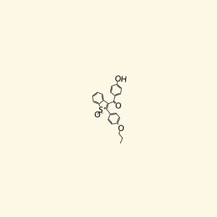 CCCOc1ccc(-c2c(C(=O)c3ccc(O)cc3)c3ccccc3[s+]2[O-])cc1